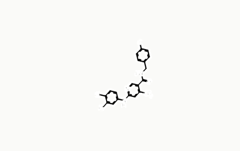 O=C(NCc1ccc(F)cc1)c1cnc(Nc2ccc(Cl)c(Cl)c2)cc1C(F)(F)F